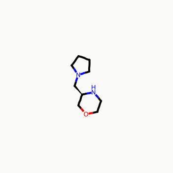 C1CCN(C[C@@H]2COCCN2)C1